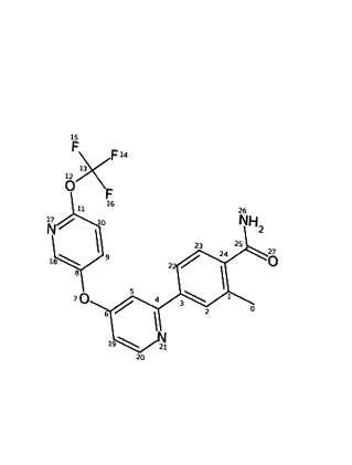 Cc1cc(-c2cc(Oc3ccc(OC(F)(F)F)nc3)ccn2)ccc1C(N)=O